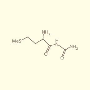 CSCCC(N)C(=O)NC(N)=O